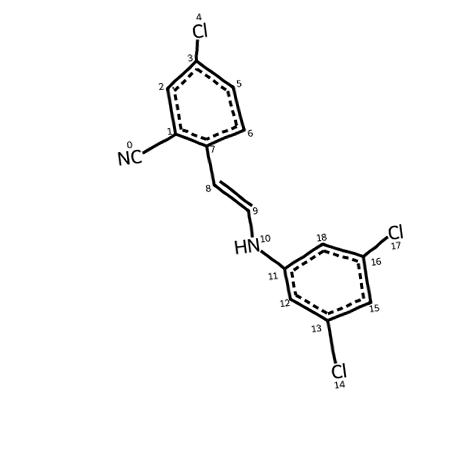 N#Cc1[c]c(Cl)ccc1C=CNc1cc(Cl)cc(Cl)c1